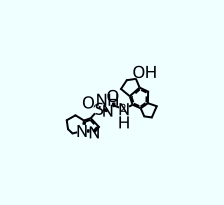 NS(=O)(=NC(=O)Nc1c2c(cc3c1CCC3O)CCC2)c1cnn2c1CCCC2